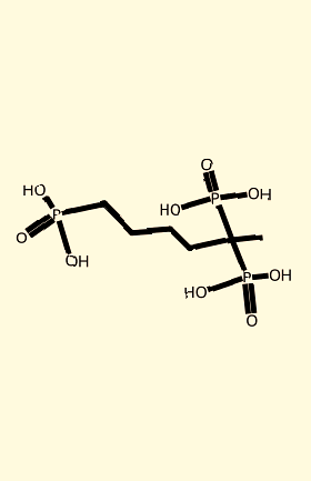 CC(CCCCP(=O)(O)O)(P(=O)(O)O)P(=O)(O)O